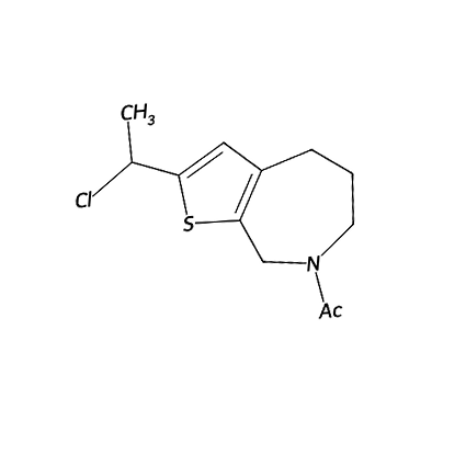 CC(=O)N1CCCc2cc(C(C)Cl)sc2C1